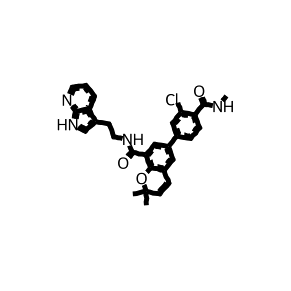 CNC(=O)c1ccc(-c2cc3c(c(C(=O)NCCc4c[nH]c5ncccc45)c2)OC(C)(C)C=C3)cc1Cl